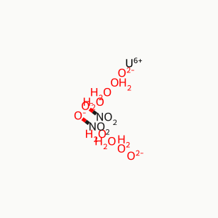 O.O.O.O.O.O.O=[N+]([O-])[O-].O=[N+]([O-])[O-].[O-2].[O-2].[U+6]